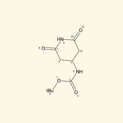 CC(C)(C)OC(=O)NC1CC(=O)NC(=O)C1